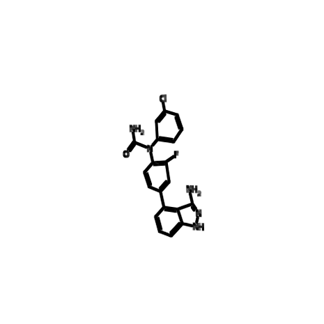 NC(=O)N(c1cccc(Cl)c1)c1ccc(-c2cccc3[nH]nc(N)c23)cc1F